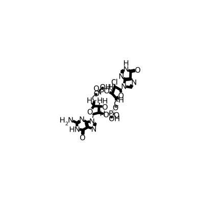 Nc1nc2c(ncn2[C@@H]2O[C@@H]3COP(=O)(O)O[C@H]4[C@H](Cl)[C@H](n5cnc6c(=O)[nH]cnc65)O[C@@H]4COP(=O)(O)O[C@@H]2[C@@H]3O)c(=O)[nH]1